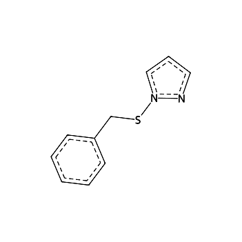 c1ccc(CSn2cccn2)cc1